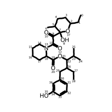 CCC1CCC(C)C(O)(C(=O)C(=O)N2CCCCC2C(=O)OC(C(C)C)C(CC)Cc2cccc(O)c2)O1